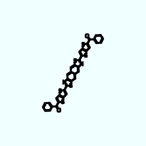 O=C(c1ccccc1)c1cc2sc(-c3nc4cc5cc6sc(-c7cc8sc(C(=O)c9ccccc9)cc8s7)nc6cc5cc4s3)cc2s1